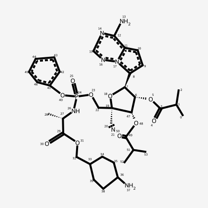 CC(C)C(=O)O[C@H]1[C@H](c2ccc3c(N)ncnn23)O[C@](C#N)(COP(=O)(N[C@@H](C)C(=O)OCC2CCC(N)CC2)Oc2ccccc2)[C@H]1OC(=O)C(C)C